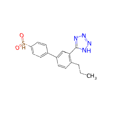 CCCc1ccc(-c2ccc([SH](=O)=O)cc2)cc1-c1nnn[nH]1